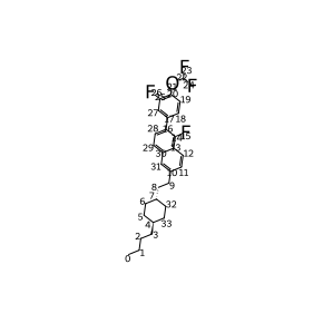 CCCC[C@H]1CC[C@H](CCc2ccc3c(F)c(-c4ccc(OC(F)F)c(F)c4)ccc3c2)CC1